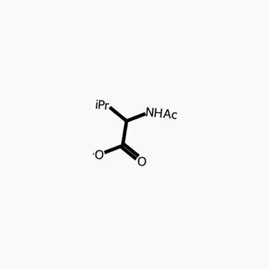 CC(=O)NC(C([O])=O)C(C)C